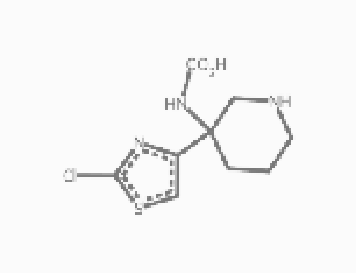 O=C(O)NC1(c2csc(Cl)n2)CCCNC1